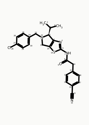 CC(C)[C@H]1c2nc(NC(=O)Cc3ccc(C#N)cc3)sc2CN1Cc1ccc(Cl)cc1